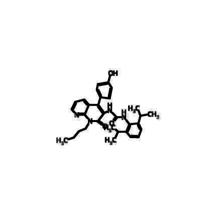 CCCCn1c(=O)c(NC(=O)Nc2c(C(C)C)cccc2C(C)C)c(-c2ccc(O)cc2)c2cccnc21